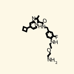 Cc1nc2cc(C3CCC3)ccn2c1C(=O)NCc1ccc(NCCOCCN)c(F)c1